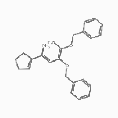 N/C(=C\C(OCc1ccccc1)=C(/N)OCc1ccccc1)C1=CCCC1